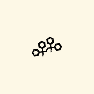 [K][C](CC[C]([K])(c1ccccc1)c1ccccc1)(c1ccccc1)c1ccccc1